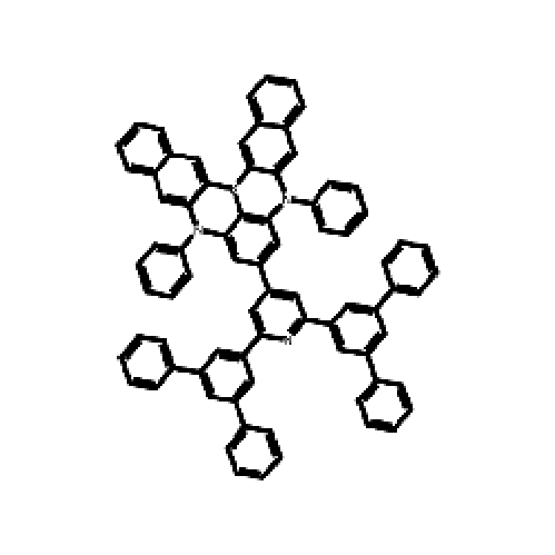 c1ccc(-c2cc(-c3ccccc3)cc(-c3cc(-c4cc5c6c(c4)N(c4ccccc4)c4cc7ccccc7cc4B6c4cc6ccccc6cc4N5c4ccccc4)cc(-c4cc(-c5ccccc5)cc(-c5ccccc5)c4)n3)c2)cc1